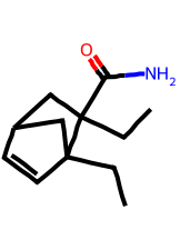 CCC12C=CC(C1)CC2(CC)C(N)=O